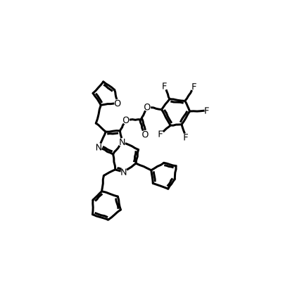 O=C(Oc1c(F)c(F)c(F)c(F)c1F)Oc1c(Cc2ccco2)nc2c(Cc3ccccc3)nc(-c3ccccc3)cn12